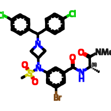 CNC(=O)[C@H](C)NC(=O)c1cc(Br)cc(N(C2CN(C(c3ccc(Cl)cc3)c3ccc(Cl)cc3)C2)S(C)(=O)=O)c1